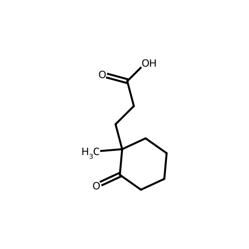 CC1(CCC(=O)O)CCCCC1=O